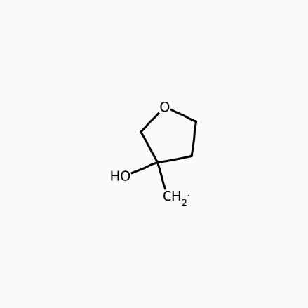 [CH2]C1(O)CCOC1